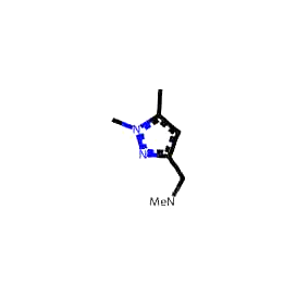 CNCc1cc(C)n(C)n1